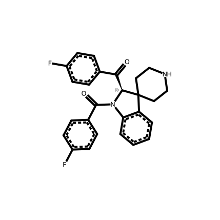 O=C(c1ccc(F)cc1)[C@@H]1N(C(=O)c2ccc(F)cc2)c2ccccc2C12CCNCC2